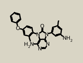 Cc1cc(N)cc(-n2c(=O)n(-c3ccc(Oc4ccccc4)cc3C)c3c(N)ncnc32)c1